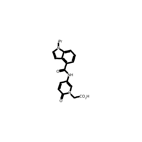 CC(C)n1ccc2c(C(=O)Nc3ccc(=O)n(CC(=O)O)c3)cccc21